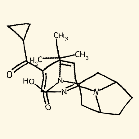 CC(C)(C)N(C(=O)O)C1CC2CCC(C1)N2c1ccc(C(=O)C2CC2)cn1